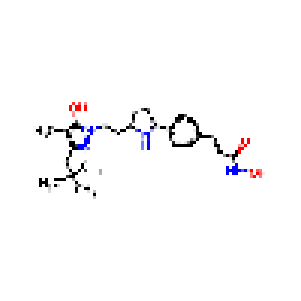 Cc1c(CC(C)(C)C)nn(CCC2CCC(c3ccc(/C=C/C(=O)NO)cc3)N2)c1O